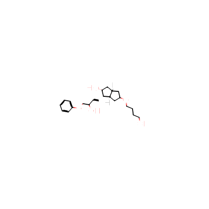 OCCCCOC1C[C@H]2C[C@H](O)[C@@H](C=CC(O)COc3ccccc3)[C@@H]2C1